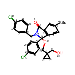 CC(C)(C)c1ccc2c(c1)C(=O)N(Cc1ccc(Cl)cc1)C2(OCC1(CO)CC1)c1ccc(Cl)cc1